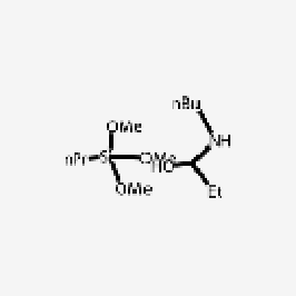 CCCCNC(O)CC.CCC[Si](OC)(OC)OC